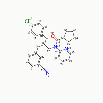 N#Cc1cccc(CC(Cc2ccc(Cl)cc2)CN(C(=O)C2CCCC2)c2ccccn2)c1